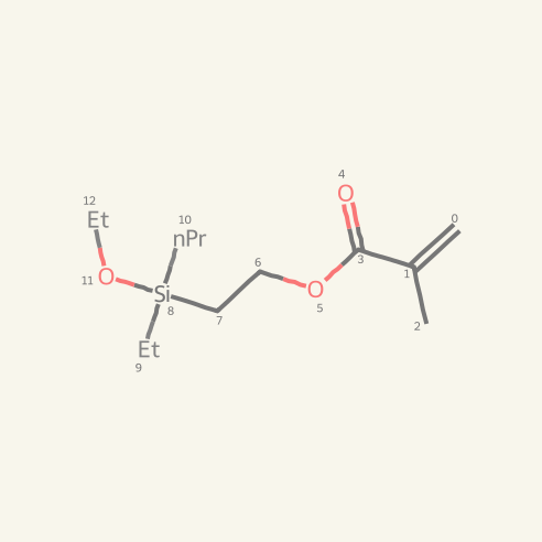 C=C(C)C(=O)OCC[Si](CC)(CCC)OCC